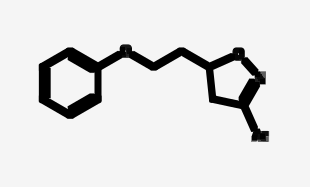 CC(=O)C1=NOC(CCOc2ccccc2)C1